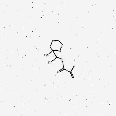 [CH2]CC(OC(=O)C(=C)C)C1([SiH3])CCCCO1